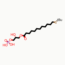 CC(C)(C)SCCCCCCCCCCCC(=O)OC[C@@H](O)COP(=O)(O)O